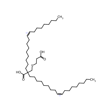 CCCCCCCC/C=C\CCCCCCCCC(CCCCCCCC/C=C\CCCCCCCC)(CSCCC(=O)O)C(=O)O